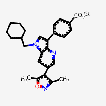 CCOC(=O)c1ccc(-c2cn(CC3CCCCC3)c3cc(-c4c(C)noc4C)cnc23)cc1